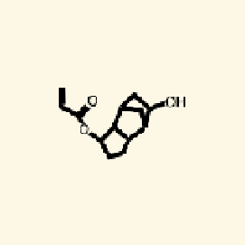 C=CC(=O)OC1CCC2C3CC(CC3O)C12